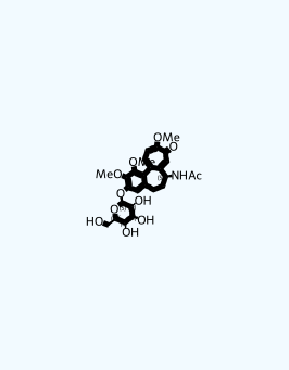 COc1c(O[C@@H]2O[C@H](CO)[C@@H](O)[C@H](O)[C@H]2O)cc2c(c1OC)-c1ccc(OC)c(=O)cc1[C@@H](NC(C)=O)CC2